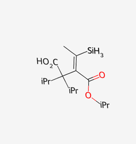 CC([SiH3])=C(C(=O)OC(C)C)C(C(=O)O)(C(C)C)C(C)C